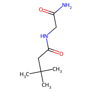 CC(C)(C)CC(=O)NCC(N)=O